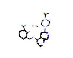 COC[C@@H]1CN(C(C)=O)CCN1c1cc2c(N[C@H](C)c3cccc(C(F)F)c3F)ccnc2cn1